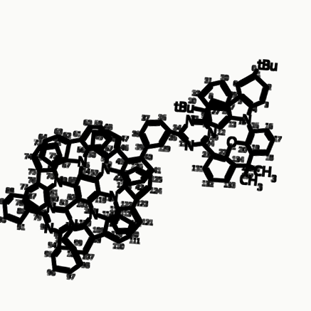 CC(C)(C)c1ccc2c(c1)c1cc(C(C)(C)C)ccc1n2-c1cccc2c1Oc1c(-c3nc(-c4ccccc4)nc(-c4cccc(-c5cccc6c5c5ccccc5n6-c5c(-n6c7ccccc7c7ccccc76)c(-n6c7ccccc7c7ccccc76)c(-c6nc(-c7ccccc7)nc(-c7ccccc7)n6)c(-n6c7ccccc7c7ccccc76)c5-n5c6ccccc6c6ccccc65)c4)n3)cccc1C2(C)C